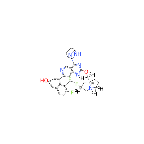 [2H]C1([2H])CC[C@]2(C([2H])([2H])Oc3nc(N4CC5CCC4CN5)c4cnc(-c5cc(O)cc6ccc(F)c(CC)c56)c(F)c4n3)C[C@]([2H])(F)CN12